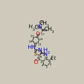 CCc1cccc(C(=O)c2sc(Nc3ccc(OC[C@@H](C)N(C)C)cc3)nc2N)c1